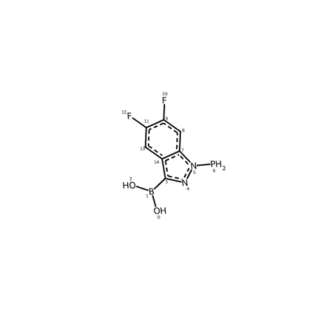 OB(O)c1nn(P)c2cc(F)c(F)cc12